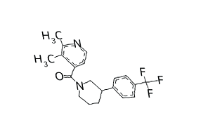 Cc1nccc(C(=O)N2CCCC(c3ccc(C(F)(F)F)cc3)C2)c1C